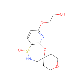 [O-][S+]1NCC2(CCOCC2)Oc2nc(OCCO)ccc21